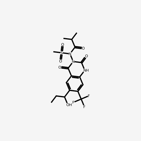 CCC(O)c1cc2c(=O)n(N(C(=O)C(C)C)S(C)(=O)=O)c(=O)[nH]c2cc1C(F)(F)F